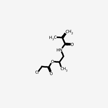 C=C(C)C(=O)NCC(C)OC(=O)CCl